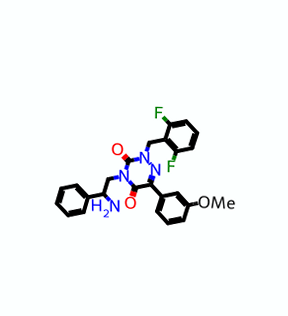 COc1cccc(-c2nn(Cc3c(F)cccc3F)c(=O)n(CC(N)c3ccccc3)c2=O)c1